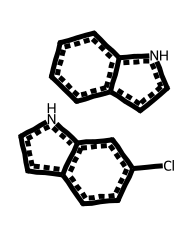 Clc1ccc2cc[nH]c2c1.c1ccc2[nH]ccc2c1